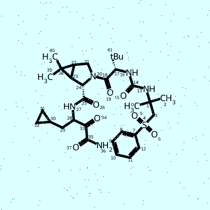 CC(C)(CS(=O)(=O)c1ccccc1)NC(=O)N[C@H](C(=O)N1CC2C([C@H]1C(=O)NC(CC1CC1)C(=O)C(N)=O)C2(C)C)C(C)(C)C